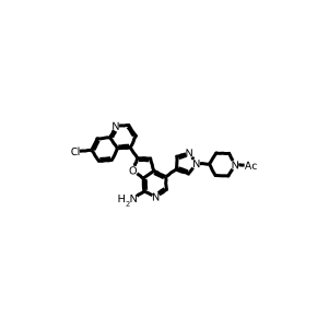 CC(=O)N1CCC(n2cc(-c3cnc(N)c4oc(-c5ccnc6cc(Cl)ccc56)cc34)cn2)CC1